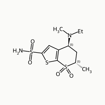 CCN(C)[C@H]1C[C@H](C)S(=O)(=O)c2sc(S(N)(=O)=O)cc21